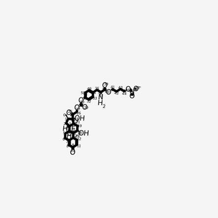 C[C@@H]1C[C@H]2[C@@H]3CCC4=CC(=O)C=C[C@]4(C)[C@@]3(F)[C@@H](O)C[C@]2(C)[C@@]1(O)C(=O)COC(=O)Oc1ccc(C[C@H](N)C(=O)OCCCCO[N+](=O)[O-])cc1